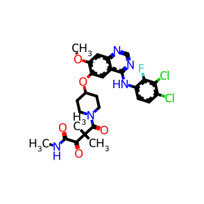 CNC(=O)C(=O)C(C)(C)C(=O)N1CCC(Oc2cc3c(Nc4ccc(Cl)c(Cl)c4F)ncnc3cc2OC)CC1